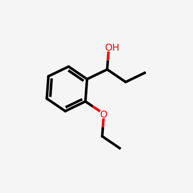 CCOc1ccccc1C(O)CC